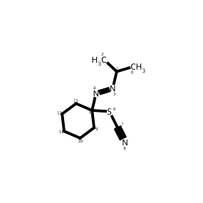 CC(C)/N=N/C1(SC#N)CCCCC1